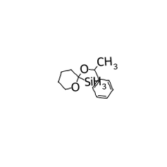 CC(OC1([SiH3])CCCCO1)c1ccccc1